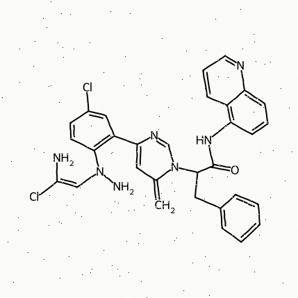 C=C1C=C(c2cc(Cl)ccc2N(N)/C=C(\N)Cl)N=CN1C(Cc1ccccc1)C(=O)Nc1cccc2ncccc12